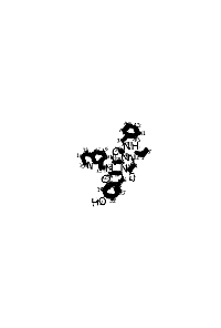 C=CCN1CC(=O)N2C([C@H](C)N(Cc3cccc4cccnc34)C(=O)[C@@H]2Cc2ccc(O)cc2)N1C(=O)NCc1ccccc1